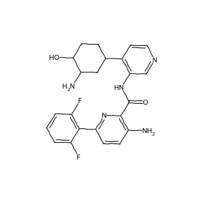 Nc1ccc(-c2c(F)cccc2F)nc1C(=O)Nc1cnccc1C1CCC(O)C(N)C1